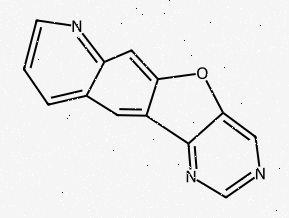 c1cnc2cc3oc4cncnc4c3cc2c1